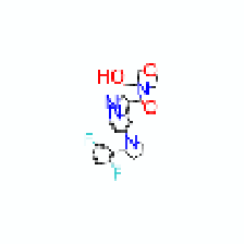 O=C(c1cnn2ccc(N3CCC[C@@H]3c3cc(F)ccc3F)cc12)N1CCOCC1CO